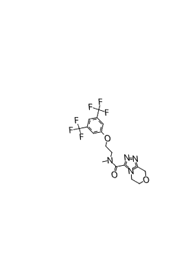 CN(CCOc1cc(C(F)(F)F)cc(C(F)(F)F)c1)C(=O)c1nnc2n1CCOC2